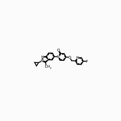 Cc1c2cc(-n3ccc(OCc4ccc(F)cn4)cc3=O)ccc2nn1C1CC1